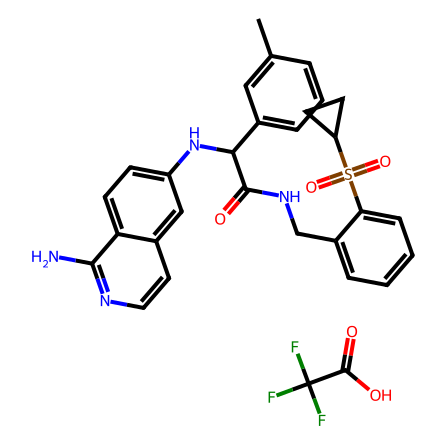 Cc1cccc(C(Nc2ccc3c(N)nccc3c2)C(=O)NCc2ccccc2S(=O)(=O)C2CC2)c1.O=C(O)C(F)(F)F